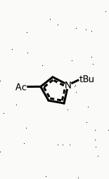 CC(=O)c1ccn(C(C)(C)C)c1